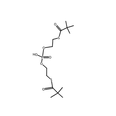 CC(C)(C)C(=O)SCCOP(=O)(O)OCCSC(=O)C(C)(C)C